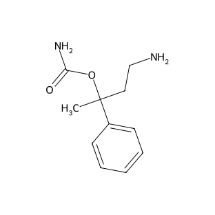 CC(CCN)(OC(N)=O)c1ccccc1